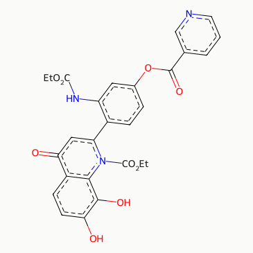 CCOC(=O)Nc1cc(OC(=O)c2cccnc2)ccc1-c1cc(=O)c2ccc(O)c(O)c2n1C(=O)OCC